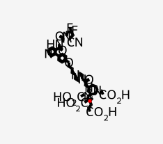 N#C[C@@H]1CC(F)(F)CN1C(=O)CNC(=O)c1ccncc1-c1ccc(OCCCN2CCN(C(=O)CN3CCN(CC(=O)O)C[C@@](CCCCC(=O)O)(N(CC(=O)O)CC(=O)O)C3)CC2)cc1